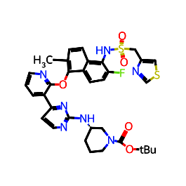 Cc1ccc2c(NS(=O)(=O)Cc3cscn3)c(F)ccc2c1Oc1ncccc1-c1ccnc(N[C@H]2CCCN(C(=O)OC(C)(C)C)C2)n1